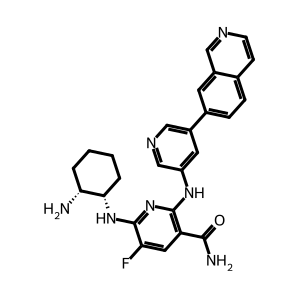 NC(=O)c1cc(F)c(N[C@H]2CCCC[C@H]2N)nc1Nc1cncc(-c2ccc3ccncc3c2)c1